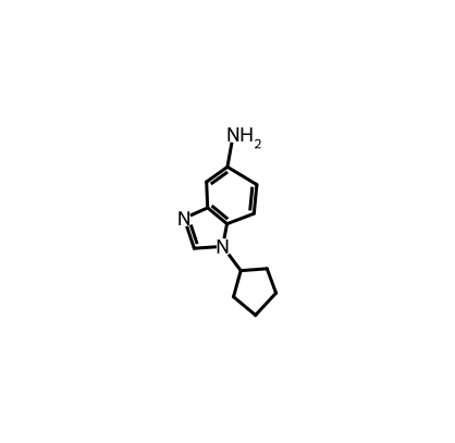 Nc1ccc2c(c1)ncn2C1CCCC1